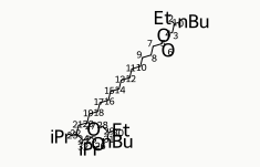 CCCCC(CC)COC(=O)CCCCCCCCCCCCCCCC(C(C)C)C(C(=O)OCC(CC)CCCC)C(C)C